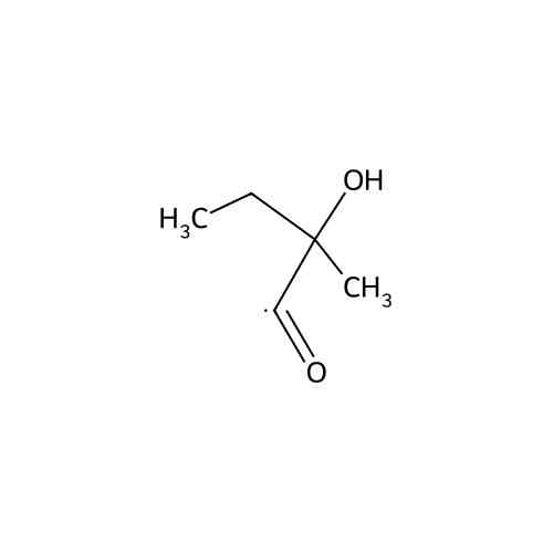 CCC(C)(O)[C]=O